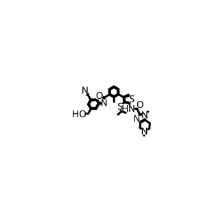 Cc1c(-c2nc3cc(CO)cc(C#N)c3o2)cccc1-c1csc(NC(=O)c2nc3c(n2C)CCN(C)C3)c1SC(C)C